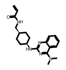 C=CC(=O)NC[C@H]1CC[C@@H](Nc2nc(N(C)C)c3ccccc3n2)CC1